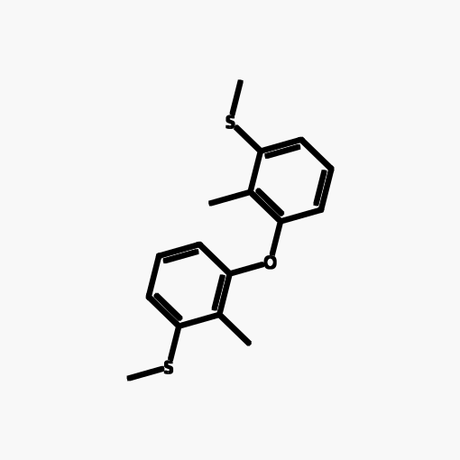 CSc1cccc(Oc2cccc(SC)c2C)c1C